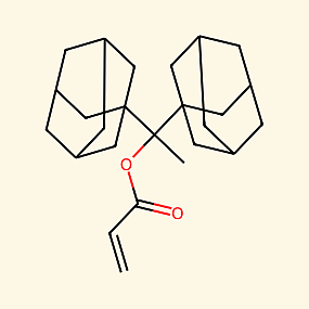 C=CC(=O)OC(C)(C12CC3CC(CC(C3)C1)C2)C12CC3CC(CC(C3)C1)C2